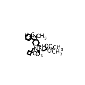 CN(C)[C@]1(c2ccccc2)CC[C@]2(CC1)CN(CC(=O)OC(C)(C)C)C(=O)N2CC1(C)CCC1